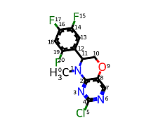 CN1c2nc(Cl)ncc2OCC1c1cc(F)c(F)cc1F